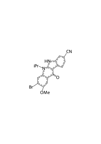 COc1cc2c(=O)c3c4ccc(C#N)cc4[nH]c3n(C(C)C)c2cc1Br